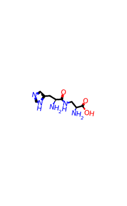 N[C@@H](CNC(=O)[C@@H](N)Cc1cnc[nH]1)C(=O)O